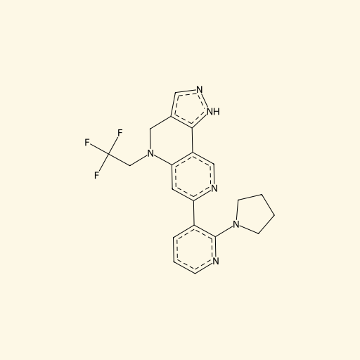 FC(F)(F)CN1Cc2cn[nH]c2-c2cnc(-c3cccnc3N3CCCC3)cc21